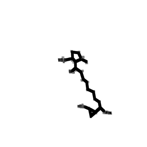 CCCCCCCCC1CC1C(CCCCCC)CCCCCCCC(CC)C1C(C(=O)O)CCN1C